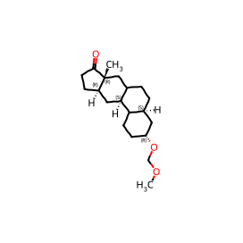 COCO[C@@H]1CCC2[C@@H](CCC3C[C@@]4(C)C(=O)CC[C@@H]4C[C@@H]32)C1